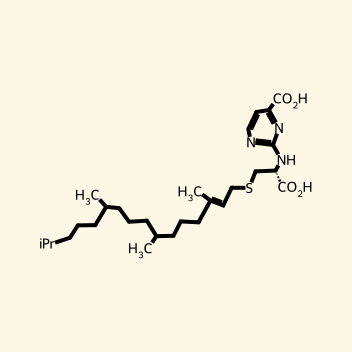 C/C(=C\CSC[C@H](Nc1nccc(C(=O)O)n1)C(=O)O)CCCC(C)CCCC(C)CCCC(C)C